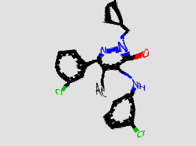 CC(=O)c1c(-c2cccc(Cl)c2)nn(CC2CC2)c(=O)c1Nc1cccc(Cl)c1